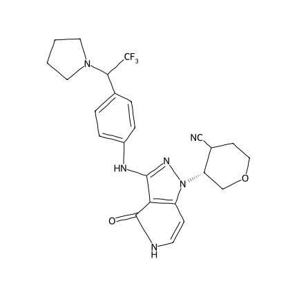 N#CC1CCOC[C@@H]1n1nc(Nc2ccc(C(N3CCCC3)C(F)(F)F)cc2)c2c(=O)[nH]ccc21